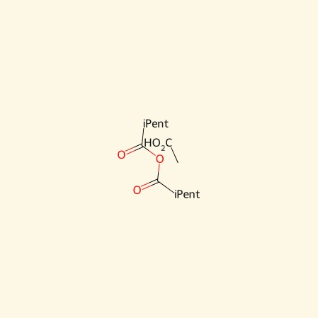 CC(=O)O.CCCC(C)C(=O)OC(=O)C(C)CCC